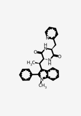 C[C@H](c1c(-c2ccccc2)n(C)c2ccccc12)[C@H]1NC(=O)[C@H](Cc2ccccn2)NC1=O